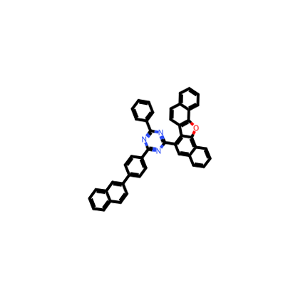 c1ccc(-c2nc(-c3ccc(-c4ccc5ccccc5c4)cc3)nc(-c3cc4ccccc4c4oc5c6ccccc6ccc5c34)n2)cc1